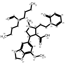 CCCCN(C=O)CCCC.COc1cc(C2CN(C)C(CCn3ccccc3=O)C2C(=O)O)cc2c1OCO2